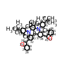 Cc1cc2c3c(c1)N(c1c(C)cc(C(C)(C)C)cc1C)c1cc(-c4coc5ccccc45)ccc1B3c1ccc(-c3coc4ccccc34)cc1N2c1c(C)cc(C(C)(C)C)cc1C